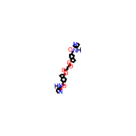 O=C(/C=C/C(=O)OC1CCc2cc(C(=O)NC3CN4CC[C@H]3C4)ccc21)OC1CCc2cc(C(=O)NC3CN4CC[C@H]3C4)ccc21